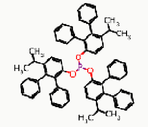 CC(C)c1ccc(OP(Oc2ccc(C(C)C)c(-c3ccccc3)c2-c2ccccc2)Oc2ccc(C(C)C)c(-c3ccccc3)c2-c2ccccc2)c(-c2ccccc2)c1-c1ccccc1